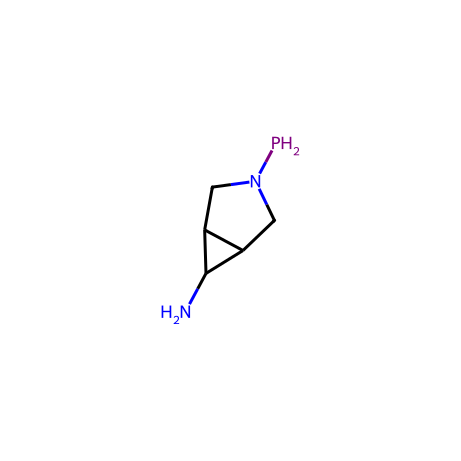 NC1C2CN(P)CC12